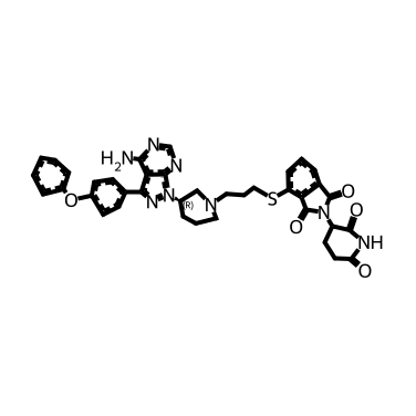 Nc1ncnc2c1c(-c1ccc(Oc3ccccc3)cc1)nn2[C@@H]1CCCN(CCCSc2cccc3c2C(=O)N(C2CCC(=O)NC2=O)C3=O)C1